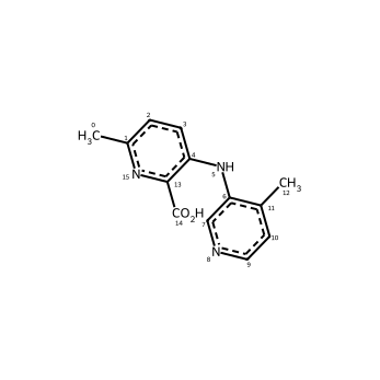 Cc1ccc(Nc2cnccc2C)c(C(=O)O)n1